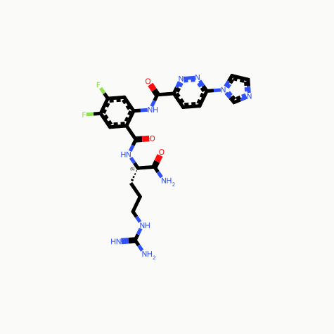 N=C(N)NCCC[C@H](NC(=O)c1cc(F)c(F)cc1NC(=O)c1ccc(-n2ccnc2)nn1)C(N)=O